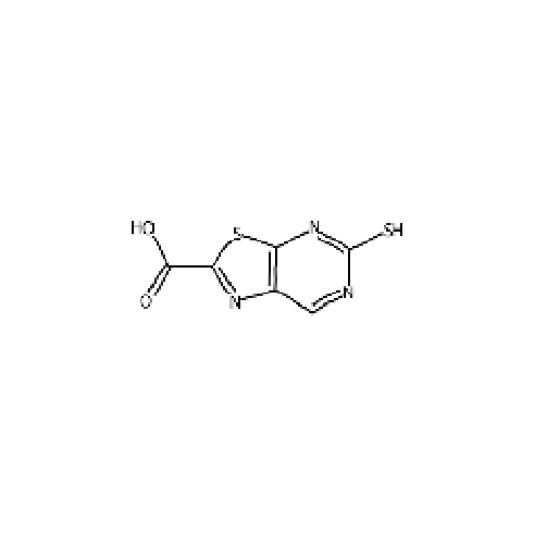 O=C(O)c1nc2cnc(S)nc2s1